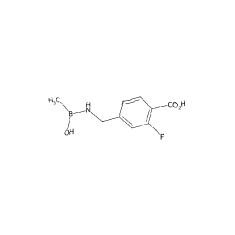 CB(O)NCc1ccc(C(=O)O)c(F)c1